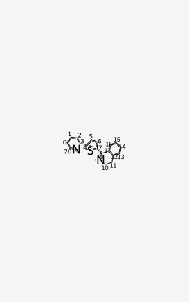 c1ccc(-c2ccc(C3[N]CCc4ccccc43)s2)nc1